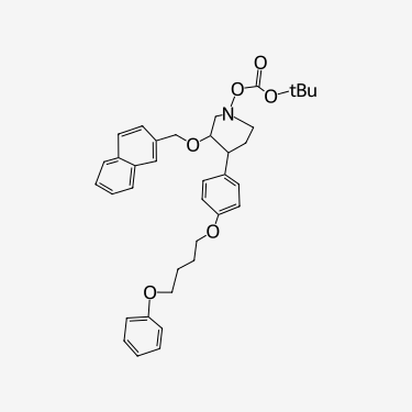 CC(C)(C)OC(=O)ON1CCC(c2ccc(OCCCCOc3ccccc3)cc2)C(OCc2ccc3ccccc3c2)C1